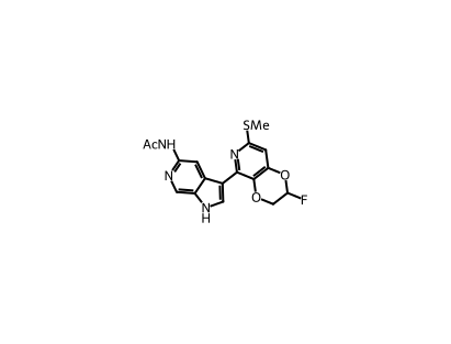 CSc1cc2c(c(-c3c[nH]c4cnc(NC(C)=O)cc34)n1)OCC(F)O2